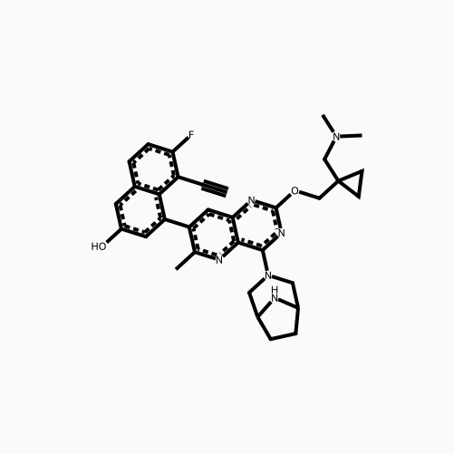 C#Cc1c(F)ccc2cc(O)cc(-c3cc4nc(OCC5(CN(C)C)CC5)nc(N5CC6CCC(C5)N6)c4nc3C)c12